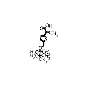 CC(C(=O)O)c1ccc(CO[Si](C)(C)C(C)(C)C)s1